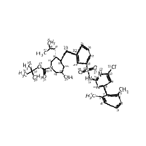 Cc1cccc(C)c1-c1cc(Cl)nc(NS(=O)(=O)c2cccc(CC3C[C@@H](O)CN(C(=O)OC(C)(C)C)C[C@@H]3CC(C)C)c2)n1